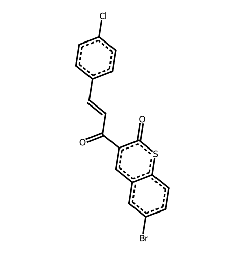 O=C(C=Cc1ccc(Cl)cc1)c1cc2cc(Br)ccc2sc1=O